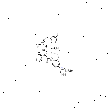 C=CCC1CCc2cc(/C(C=N)=C/NC)ccc2[C@H]1C(=O)N(CC(=O)N1Cc2ccc(F)cc2CC[C@@H]1C1CC1)C(N)=O